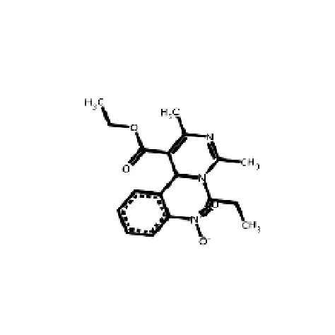 CCOC(=O)C1=C(C)N=C(C)N(C(=O)CC)C1c1ccccc1[N+](=O)[O-]